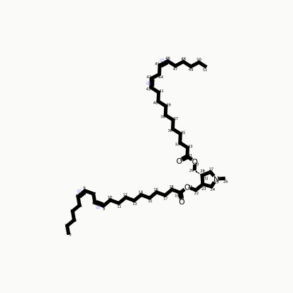 CCCCC/C=C\C/C=C\CCCCCCCCCC(=O)OCC1CN(C)C[C@H]1COC(=O)CCCCCCCCC/C=C\C/C=C\CCCCC